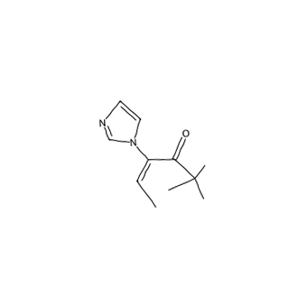 CC=C(C(=O)C(C)(C)C)n1ccnc1